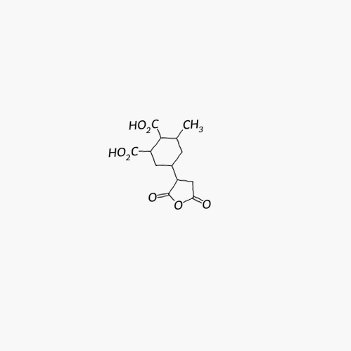 CC1CC(C2CC(=O)OC2=O)CC(C(=O)O)C1C(=O)O